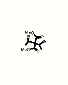 COC(=O)C(C(=O)OC)(C(C)Br)C(C)Br